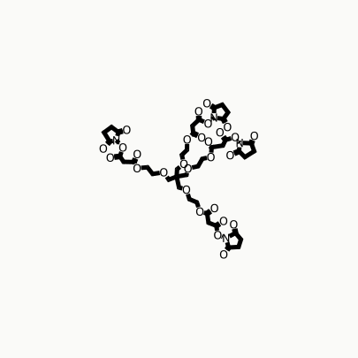 O=C(CC(=O)ON1C(=O)CCC1=O)OCCOCC(COCCOC(=O)CC(=O)ON1C(=O)CCC1=O)(COCCOC(=O)CC(=O)ON1C(=O)CCC1=O)COCCOC(=O)CC(=O)ON1C(=O)CCC1=O